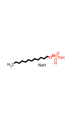 CCCCCCCCCCCCOOP(=O)(O)O.[NaH]